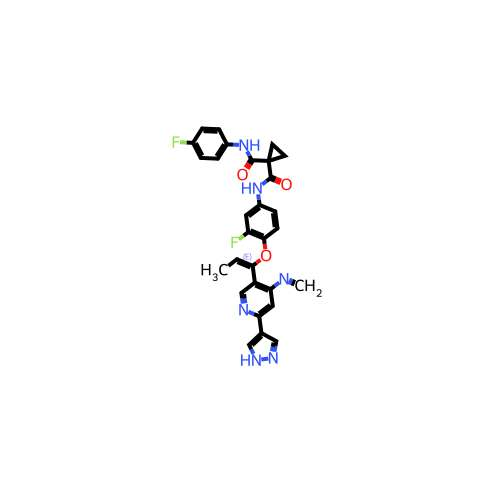 C=Nc1cc(-c2cn[nH]c2)ncc1/C(=C\C)Oc1ccc(NC(=O)C2(C(=O)Nc3ccc(F)cc3)CC2)cc1F